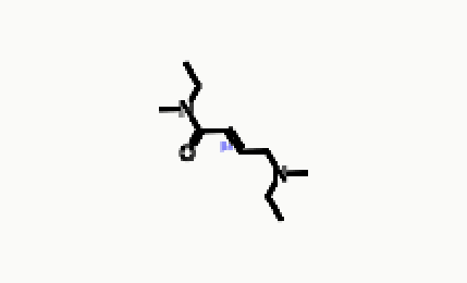 CCN(C)C/C=C/C(=O)N(C)CC